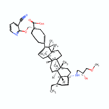 CC[C@@H]1CC[C@]2(NC[C@@H](O)COC)CC[C@]3(C)[C@H](CC[C@@H]4[C@@]5(C)CC=C(C6=CC[C@](COc7ncccc7C#N)(C(=O)O)CC6)C(C)(C)[C@@H]5CC[C@]43C)[C@@H]12